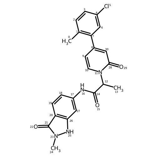 Cc1ccc(Cl)cc1-c1ccn(C(C)C(=O)Nc2ccc3c(=O)n(C)[nH]c3c2)c(=O)c1